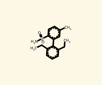 CCc1cccc(CC)c1-c1cc(C)ccc1S(N)(=O)=O